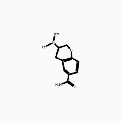 CCCN(CC)C1COc2ccc(C(N)=O)cc2C1